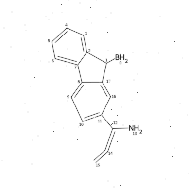 BC1c2ccccc2-c2ccc(C(N)=C=C)cc21